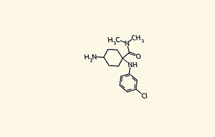 CN(C)C(=O)C1(Nc2cccc(Cl)c2)CCC(N)CC1